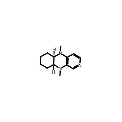 CN1c2cnccc2N(C)[C@H]2CCCC[C@H]21